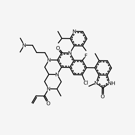 C=CC(=O)N1CC2CN(CCCN(C)C)c3c(c4cc(Cl)c(-c5c(C)ccc6[nH]c(=O)n(C)c56)c(F)c4n(-c4c(C)ccnc4C(C)C)c3=O)N2CC1C